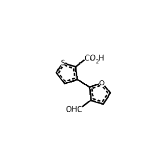 O=Cc1ccoc1-c1ccsc1C(=O)O